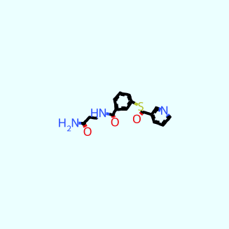 NC(=O)CCNC(=O)c1cccc(SC(=O)c2cccnc2)c1